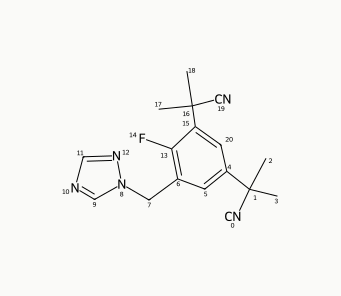 [C-]#[N+]C(C)(C)c1cc(Cn2cncn2)c(F)c(C(C)(C)C#N)c1